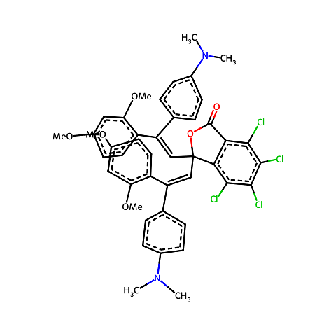 COc1ccc(C(=CC2(C=C(c3ccc(N(C)C)cc3)c3ccc(OC)cc3OC)OC(=O)c3c(Cl)c(Cl)c(Cl)c(Cl)c32)c2ccc(N(C)C)cc2)c(OC)c1